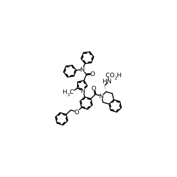 Cc1cc(C(=O)N(c2ccccc2)c2ccccc2)cn1-c1cc(OCc2ccccc2)ccc1C(=O)N1Cc2ccccc2C[C@H]1CNC(=O)O